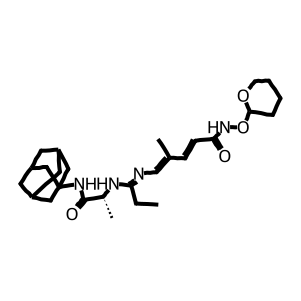 CC\C(=N/C=C(C)/C=C/C(=O)NOC1CCCCO1)N[C@H](C)C(=O)NC12CC3CC(CC(C3)C1)C2